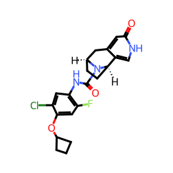 O=C(Nc1cc(Cl)c(OC2CCC2)cc1F)N1[C@H]2CC[C@@H]1c1c[nH]c(=O)cc1C2